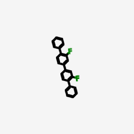 Fc1cc(-c2ccc(-c3ccccc3)c(F)c2)ccc1-c1ccccc1